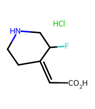 Cl.O=C(O)/C=C1/CCNCC1F